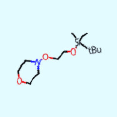 CC(C)(C)[Si](C)(C)OCCON1CCOCC1